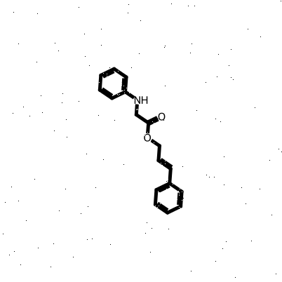 O=C(CNc1ccccc1)OCC=Cc1ccccc1